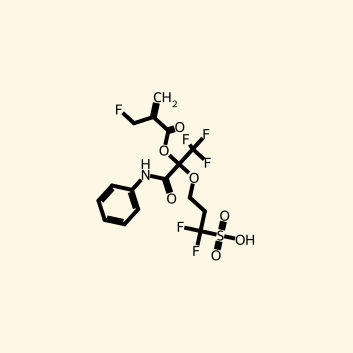 C=C(CF)C(=O)OC(OCCC(F)(F)S(=O)(=O)O)(C(=O)Nc1ccccc1)C(F)(F)F